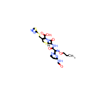 CCCON=C(C(=O)NC1C(=O)N2C(C(=O)O)=C(CSc3nncs3)CS[C@@H]12)c1nccc(NC=O)n1